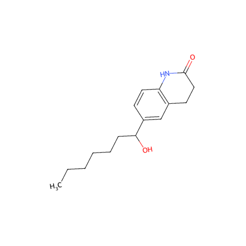 CCCCCCC(O)c1ccc2c(c1)CCC(=O)N2